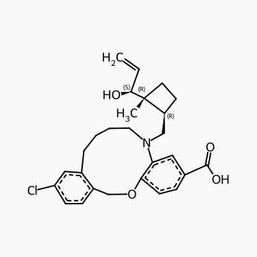 C=C[C@H](O)[C@]1(C)CC[C@H]1CN1CCCCc2cc(Cl)ccc2COc2ccc(C(=O)O)cc21